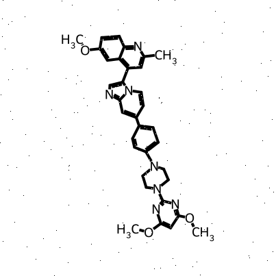 COc1ccc2nc(C)cc(-c3cnc4cc(-c5ccc(N6CCN(c7nc(OC)cc(OC)n7)CC6)cc5)ccn34)c2c1